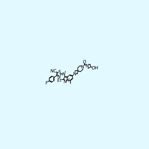 CCc1nn2c(C)cc(N3CC4(CCN(C(=O)N5CC(O)C5)CC4)C3)cc2c1N(C)c1nc(-c2ccc(F)cc2)c(C#N)s1